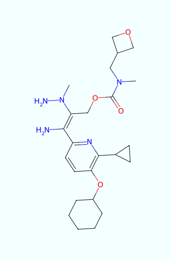 CN(CC1COC1)C(=O)OC/C(=C(/N)c1ccc(OC2CCCCC2)c(C2CC2)n1)N(C)N